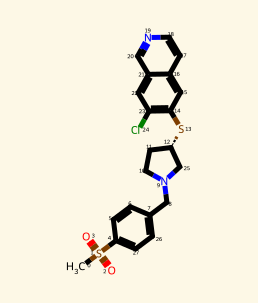 CS(=O)(=O)c1ccc(CN2CC[C@H](Sc3cc4ccncc4cc3Cl)C2)cc1